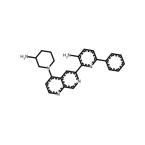 Nc1ccc(-c2ccccc2)nc1-c1cc2c(N3CCCC(N)C3)ccnc2cn1